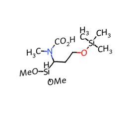 CO[SiH](OC)C(CCO[Si](C)(C)C)N(C)C(=O)O